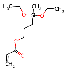 C=CC(=O)OCCC[Si](C)(OCC)OCC